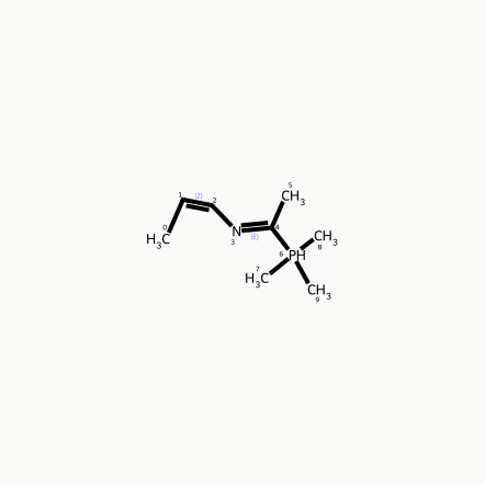 C/C=C\N=C(/C)[PH](C)(C)C